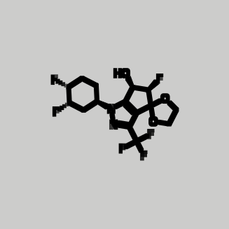 O[C@@H]1c2c(c(C(F)(F)F)nn2[C@@H]2CC[C@@H](F)[C@@H](F)C2)C2(OCCO2)[C@@H]1F